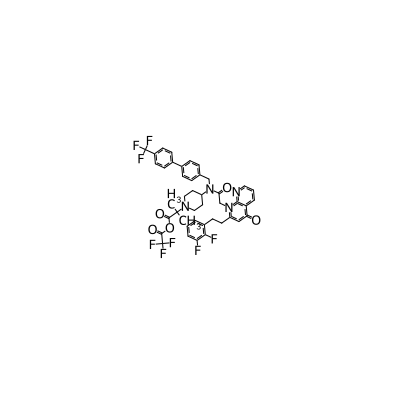 CC(C)(C(=O)OC(=O)C(F)(F)F)N1CCC(N(Cc2ccc(-c3ccc(C(F)(F)F)cc3)cc2)C(=O)Cn2c(CCc3cccc(F)c3F)cc(=O)c3cccnc32)CC1